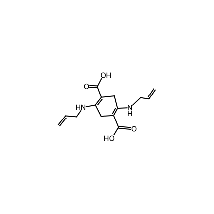 C=CCNC1=C(C(=O)O)CC(NCC=C)=C(C(=O)O)C1